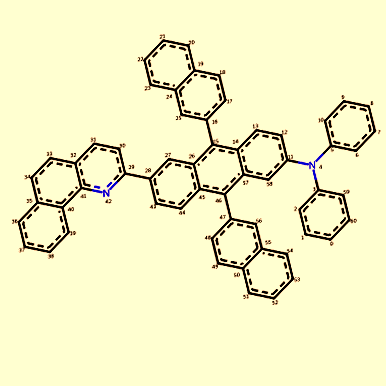 c1ccc(N(c2ccccc2)c2ccc3c(-c4ccc5ccccc5c4)c4cc(-c5ccc6ccc7ccccc7c6n5)ccc4c(-c4ccc5ccccc5c4)c3c2)cc1